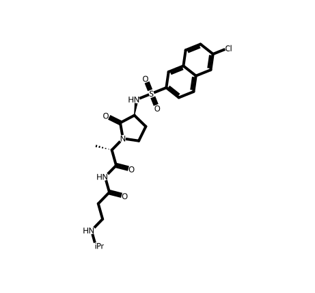 CC(C)NCCC(=O)NC(=O)[C@H](C)N1CC[C@H](NS(=O)(=O)c2ccc3cc(Cl)ccc3c2)C1=O